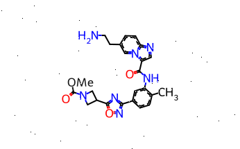 COC(=O)N1CC(c2nc(-c3ccc(C)c(NC(=O)c4cnc5ccc(CCN)cn45)c3)no2)C1